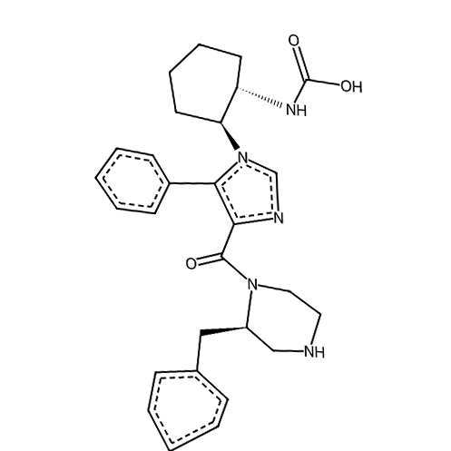 O=C(O)N[C@H]1CCCC[C@@H]1n1cnc(C(=O)N2CCNC[C@H]2Cc2ccccc2)c1-c1ccccc1